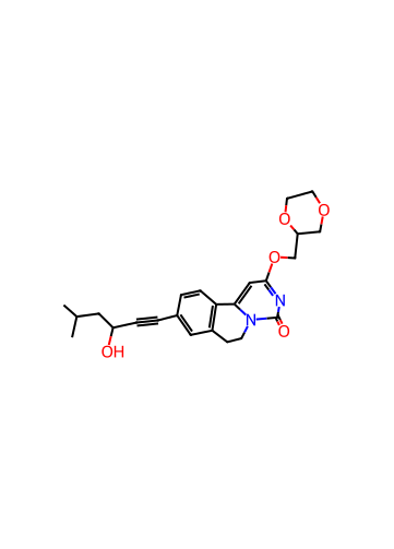 CC(C)CC(O)C#Cc1ccc2c(c1)CCn1c-2cc(OCC2COCCO2)nc1=O